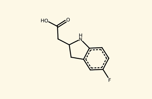 O=C(O)CC1Cc2cc(F)ccc2N1